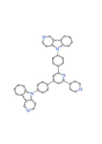 c1ccc2c(c1)c1cnccc1n2-c1ccc(-c2cc(-c3ccncc3)nc(-c3ccc(-n4c5ccccc5c5cnccc54)cc3)c2)cc1